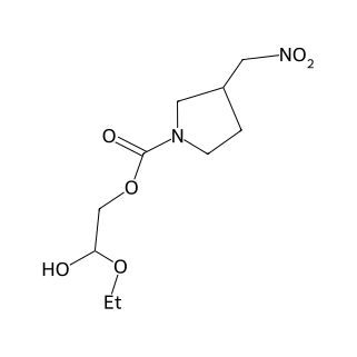 CCOC(O)COC(=O)N1CCC(C[N+](=O)[O-])C1